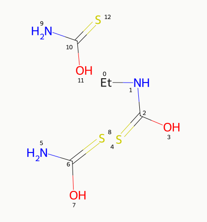 CCNC(O)=S.NC(O)=S.NC(O)=S